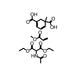 C=CC(=O)OC.CC1(C(=O)O)C=CC=C(C(=O)O)C1.CCOC(=O)C(NC(C)=O)C(=O)OCC